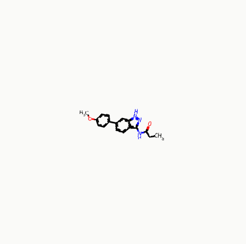 CCC(=O)Nc1n[nH]c2cc(-c3ccc(OC)cc3)ccc12